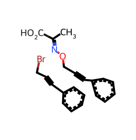 BrCC#Cc1ccccc1.CC(=NOCC#Cc1ccccc1)C(=O)O